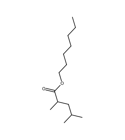 CCCCCCCOC(=O)C(C)CC(C)C